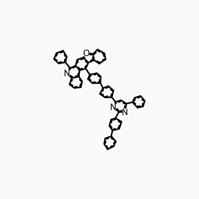 c1ccc(-c2ccc(-c3nc(-c4ccccc4)cc(-c4ccc(-c5ccc(-c6c7c(cc8c(-c9ccccc9)nc9ccccc9c68)oc6ccccc67)cc5)cc4)n3)cc2)cc1